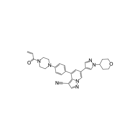 C=CC(=O)N1CCN(c2ccc(-c3cc(-c4cnn(C5CCOCC5)c4)cn4ncc(C#N)c34)cc2)CC1